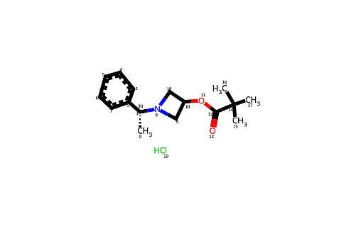 C[C@H](c1ccccc1)N1CC(OC(=O)C(C)(C)C)C1.Cl